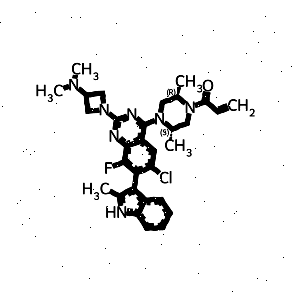 C=CC(=O)N1C[C@H](C)N(c2nc(N3CC(N(C)C)C3)nc3c(F)c(-c4c(C)[nH]c5ccccc45)c(Cl)cc23)C[C@H]1C